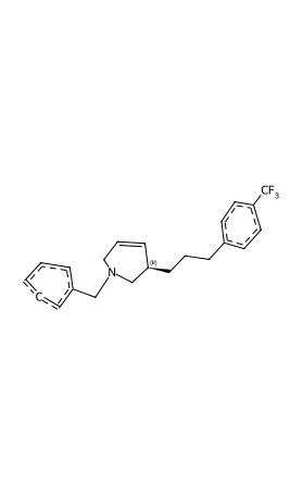 FC(F)(F)c1ccc(CCC[C@@H]2C=CCN(Cc3ccccc3)C2)cc1